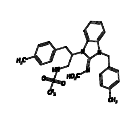 Cc1ccc(CC(CNS(=O)(=O)C(F)(F)F)n2c(=NC(=O)O)n(Cc3ccc(C)cc3)c3ccccc32)cc1